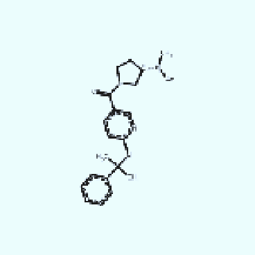 CC(=O)N(C)[C@H]1CCN(C(=O)c2ccc(NC(C)(C)c3ccccc3)nc2)C1